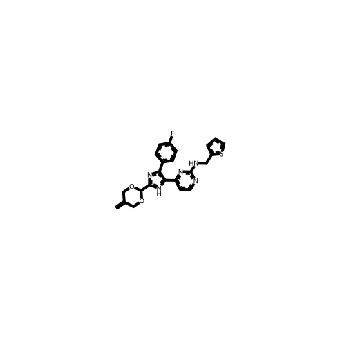 C=C1COC(c2nc(-c3ccc(F)cc3)c(-c3ccnc(NCc4cccs4)n3)[nH]2)OC1